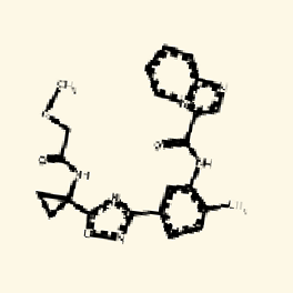 COCC(=O)NC1(c2nc(-c3ccc(C)c(NC(=O)c4cnc5ccccn45)c3)no2)CC1